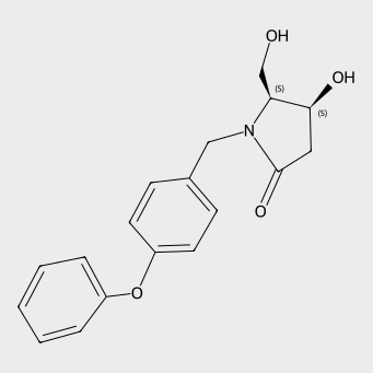 O=C1C[C@H](O)[C@H](CO)N1Cc1ccc(Oc2ccccc2)cc1